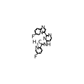 C[C@H](Nc1ccnc(-c2cnc3ccc(F)cn23)n1)c1ccc(F)cn1